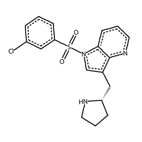 O=S(=O)(c1cccc(Cl)c1)n1cc(C[C@@H]2CCCN2)c2ncccc21